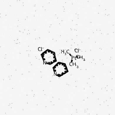 [CH3][Pt+2]([CH3])[CH3].[Cl-].[Cl-].c1ccncc1.c1ccncc1